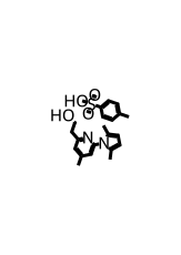 Cc1cc(CCO)nc(-n2c(C)ccc2C)c1.Cc1ccc(S(=O)(=O)O)cc1